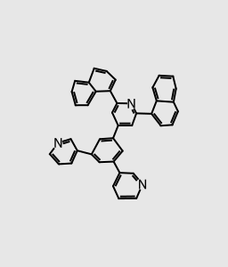 c1cncc(-c2cc(-c3cccnc3)cc(-c3cc(-c4cccc5ccccc45)nc(-c4cccc5ccccc45)c3)c2)c1